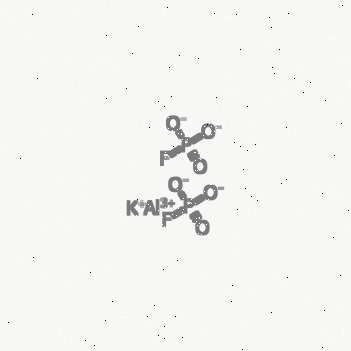 O=P([O-])([O-])F.O=P([O-])([O-])F.[Al+3].[K+]